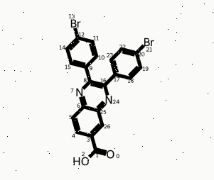 O=C(O)c1ccc2nc(-c3ccc(Br)cc3)c(-c3ccc(Br)cc3)nc2c1